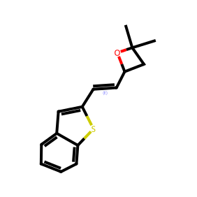 CC1(C)CC(/C=C/c2cc3ccccc3s2)O1